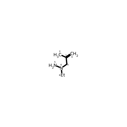 C=C(C)CN(N)CC